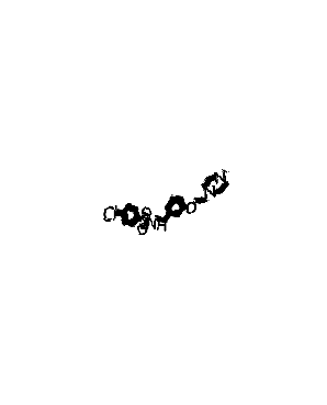 CN1CCN(CCOc2cccc(CCNS(=O)(=O)c3ccc(Cl)cc3)c2)CC1